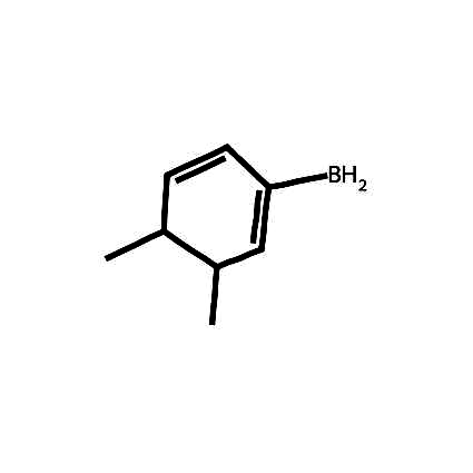 BC1=CC(C)C(C)C=C1